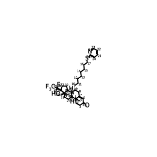 C[C@]12CCC(=O)C=C1C[C@@H](CCCCCCCCSc1ccccn1)[C@@H]1[C@@H]2CC[C@@]2(C)[C@H]1CC[C@@]2(O)C(F)(F)C(F)(F)F